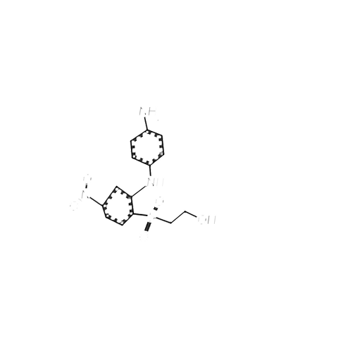 Nc1ccc(Nc2cc([N+](=O)[O-])ccc2S(=O)(=O)CCO)cc1